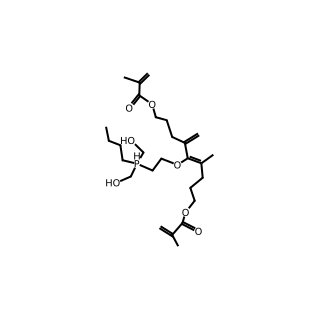 C=C(C)C(=O)OCCCC(=C)/C(OCC[PH](CO)(CO)CCCC)=C(\C)CCCOC(=O)C(=C)C